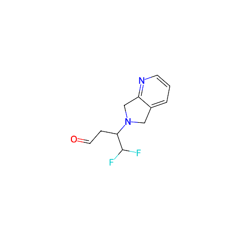 O=CCC(C(F)F)N1Cc2cccnc2C1